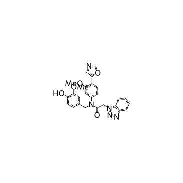 COc1cc(CN(C(=O)Cn2nnc3ccccc32)c2ccc(-c3cnco3)c(OC)c2)ccc1O